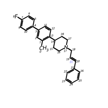 Cc1cc(-c2ccc(F)cc2)ccc1C1CCN(C/C=C/c2ccccc2)CC1